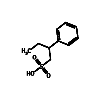 CCC(CS(=O)(=O)O)c1ccccc1